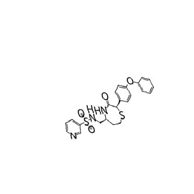 O=C1N[C@H](CNS(=O)(=O)c2cccnc2)CCS[C@@H]1c1ccc(Oc2ccccc2)cc1